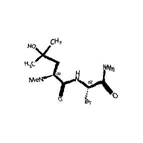 CNC(=O)[C@@H](NC(=O)[C@H](CC(C)(C)O)NC)C(C)C